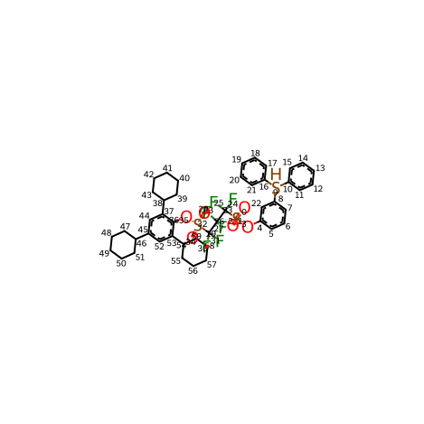 O=S(=O)(Oc1cccc([SH](c2ccccc2)c2ccccc2)c1)C(F)(F)C(F)(F)C(F)(F)S(=O)(=O)Oc1c(C2CCCCC2)cc(C2CCCCC2)cc1C1CCCCC1